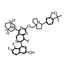 CC1(C)OCc2cc(C3CCC4(COc5nc(N6C[C@H]7CC[C@@H](C6)N7)c6cnc(-c7cc(O)cc8ccc(F)c(F)c78)c(F)c6n5)CCCN34)ccc21